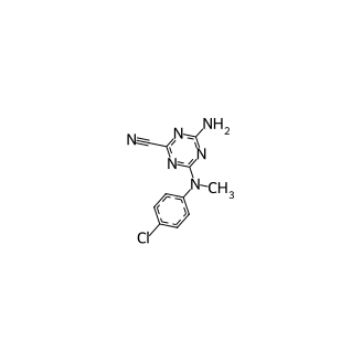 CN(c1ccc(Cl)cc1)c1nc(N)nc(C#N)n1